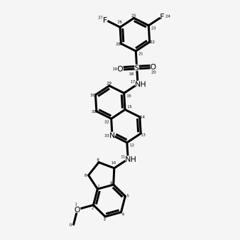 COc1cccc2c1CCC2Nc1ccc2c(NS(=O)(=O)c3cc(F)cc(F)c3)cccc2n1